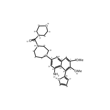 COc1cc2nc(N3CCCN(C(=O)N4CCOCC4)CC3)cc(N)c2c(-c2ccco2)c1OC